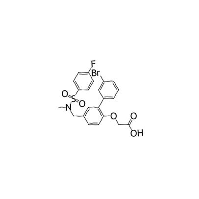 CN(Cc1ccc(OCC(=O)O)c(-c2cccc(Br)c2)c1)S(=O)(=O)c1ccc(F)cc1